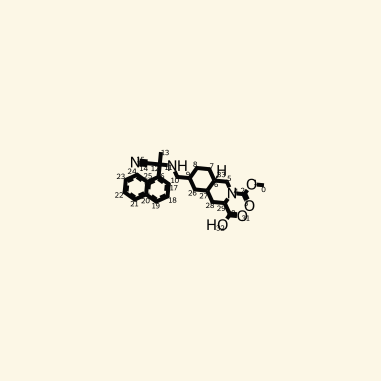 COC(=O)N1C[C@@H]2CCC(CNC(C)(C#N)c3cccc4ccccc34)CC2CC1C(=O)O